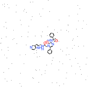 O=C(Cn1c(-c2ccccc2)cnc(NC2(c3ccccc3)COC2)c1=O)NCc1cc2cnccc2[nH]1